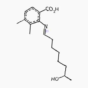 Cc1ccc(C(=O)O)c(/N=C/CCCCCC(C)O)c1C